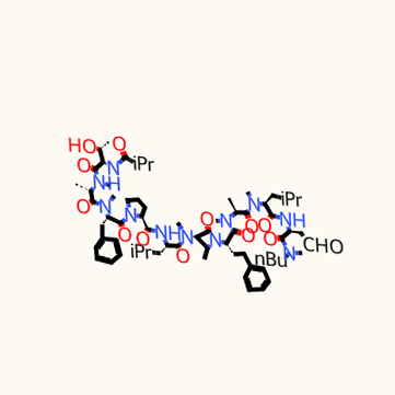 CCCCN(C)C(=O)[C@H](CC=O)NC(=O)[C@H](CC(C)C)N(C)C(=O)[C@H](C)N(C)C(=O)[C@H](CCc1ccccc1)N1C(=O)[C@@H](N(C)C(=O)[C@H](CC(C)C)NC(=O)[C@@H]2CCCN2C(=O)[C@H](Cc2ccccc2)N(C)C(=O)[C@H](C)N(C)C(=O)[C@@H](NC(=O)C(C)C)[C@@H](C)O)C1C